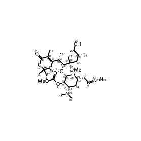 COC(=O)O[C@H]1[C@H](O[C@H]([C@@H](C)C2=C(C)C(=O)OC(C)(C)O2)[C@@](C)(C[C@@H](C)CO)OC)O[C@H](CN=[N+]=[N-])C[C@@H]1N(C)C